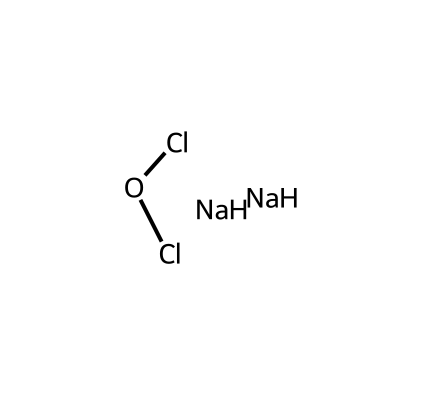 ClOCl.[NaH].[NaH]